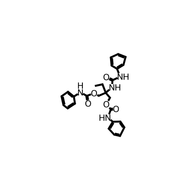 CCC(COC(=O)Nc1ccccc1)(COC(=O)Nc1ccccc1)NC(=O)Nc1ccccc1